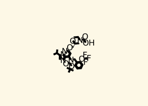 CC(C)c1cnc2c(N(Cc3ccccc3OC(F)(F)F)C(=O)OC(C)(C)C)cc(OC[C@H]3CN(C(=O)O)CCO3)nn12